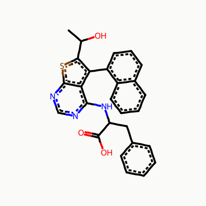 CC(O)c1sc2ncnc(NC(Cc3ccccc3)C(=O)O)c2c1-c1cccc2ccccc12